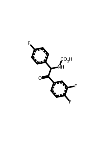 O=C(O)NC(C(=O)c1ccc(F)c(F)c1)c1ccc(F)cc1